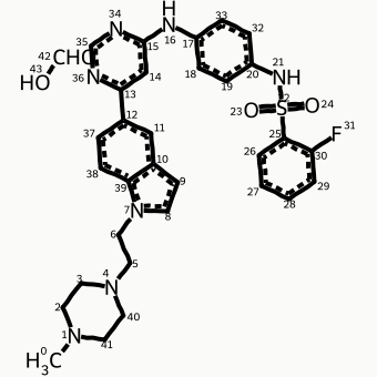 CN1CCN(CCn2ccc3cc(-c4cc(Nc5ccc(NS(=O)(=O)c6ccccc6F)cc5)ncn4)ccc32)CC1.O=CO